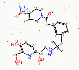 CC(C)(Cc1cccc(CC(=O)N2CCC(C(N)=O)CC2)c1)NCC(O)c1ccc(O)c(CO)n1